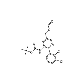 CC(C)(C)OC(=O)Nc1nc(COC=O)cnc1-c1cccc(Cl)c1Cl